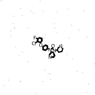 CN1CCCC(n2c(=O)n(-c3ccc(Oc4cccc(F)c4Cl)cc3)c3cnccc32)C1